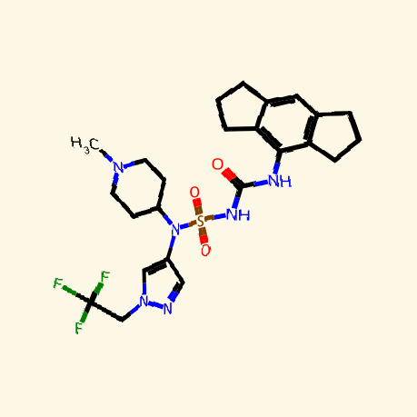 CN1CCC(N(c2cnn(CC(F)(F)F)c2)S(=O)(=O)NC(=O)Nc2c3c(cc4c2CCC4)CCC3)CC1